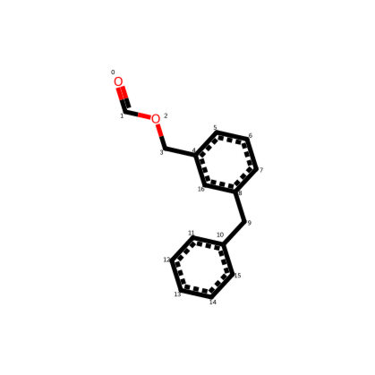 O=COCc1cccc(Cc2ccccc2)c1